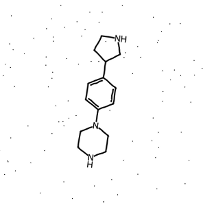 c1cc(N2CCNCC2)ccc1C1CCNC1